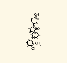 Cc1c(Cl)cccc1N1CCCC2(CCN(C3CCC(O)CC3)C2=O)C1